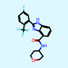 O=C(NC1CCOCC1)c1cccc2[nH]c(-c3cc(F)ccc3C(F)(F)F)nc12